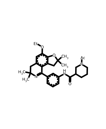 CCOc1cc2c(c3c1OC(C)(C)C3)C(c1cccc(NC(=O)C3CCCN(C(C)=O)C3)c1)=NC(C)(C)C2